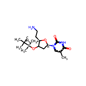 Cc1cn([C@H]2CC(O[Si](C)(C)C(C)(C)C)[C@@H](CCN)O2)c(=O)[nH]c1=O